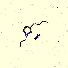 C#N.CCCCc1ccn(CCC)c1